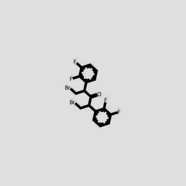 O=C(C(CBr)c1cccc(F)c1F)C(CBr)c1cccc(F)c1F